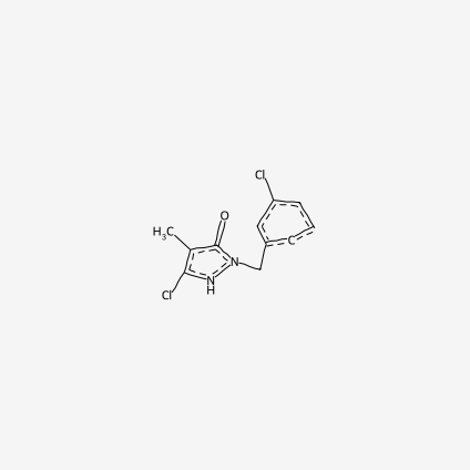 Cc1c(Cl)[nH]n(Cc2cccc(Cl)c2)c1=O